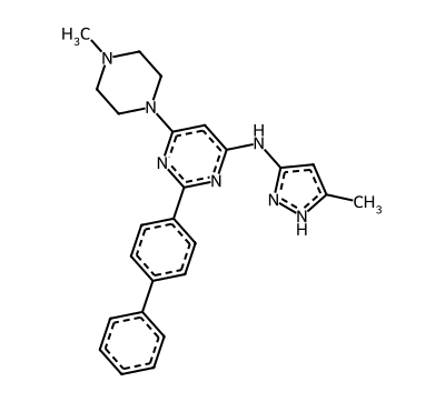 Cc1cc(Nc2cc(N3CCN(C)CC3)nc(-c3ccc(-c4ccccc4)cc3)n2)n[nH]1